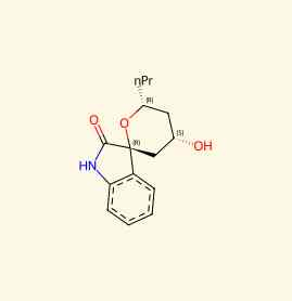 CCC[C@@H]1C[C@H](O)C[C@]2(O1)C(=O)Nc1ccccc12